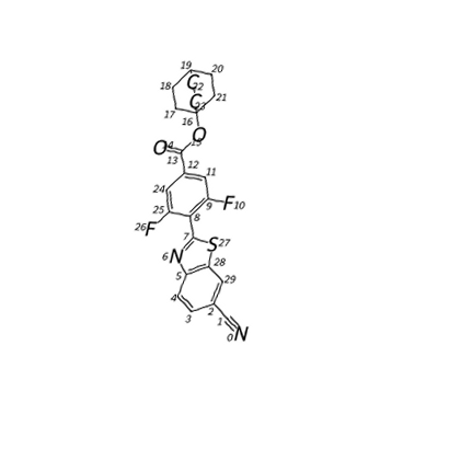 N#Cc1ccc2nc(-c3c(F)cc(C(=O)OC45CCC(CC4)CC5)cc3F)sc2c1